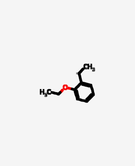 C[CH]c1ccccc1OCC